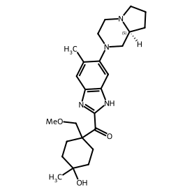 COCC1(C(=O)c2nc3cc(C)c(N4CCN5CCC[C@H]5C4)cc3[nH]2)CCC(C)(O)CC1